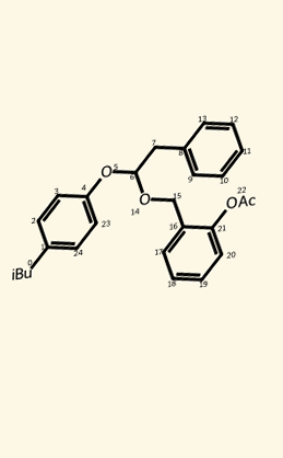 CCC(C)c1ccc(OC(Cc2ccccc2)OCc2ccccc2OC(C)=O)cc1